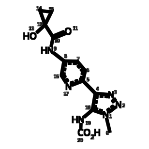 Cn1nnc(-c2ccc(NC(=O)C3(O)CC3)cn2)c1NC(=O)O